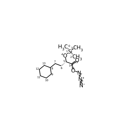 C[Si](C)(C)O[C@@H](CCC1CCCCC1)C(=O)ON=[N+]=[N-]